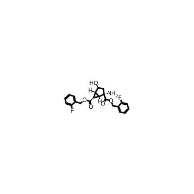 N[C@@]1(C(=O)OCc2ccccc2F)C[C@H](O)[C@H]2[C@H](C(=O)OCc3ccccc3F)[C@H]21